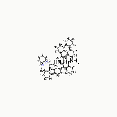 C=C1/C=c2/cccc/c2=C/Cc2ccccc2N1c1cccc(-c2c(NCC(Nc3ccccc3N)c3cccc(-c4ccccc4)c3)ccc3ccccc23)c1